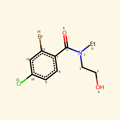 CCN(CCO)C(=O)c1ccc(Cl)cc1Br